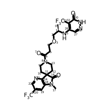 C[C@H](COCCC(=O)N1CCC2(CC1)C(=O)N(C)c1cc(C(F)(F)F)cnc12)Nc1cn[nH]c(=O)c1C(F)(F)F